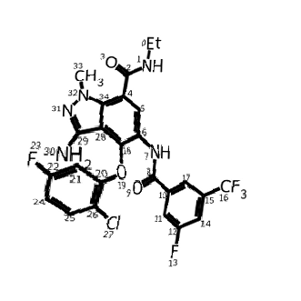 CCNC(=O)c1cc(NC(=O)c2cc(F)cc(C(F)(F)F)c2)c(Oc2cc(F)ccc2Cl)c2c(N)nn(C)c12